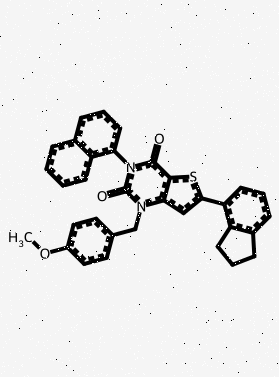 COc1ccc(Cn2c(=O)n(-c3cccc4ccccc34)c(=O)c3sc(-c4cccc5c4CCC5)cc32)cc1